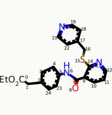 CCOC(=O)Cc1ccc(NC(=O)c2cccnc2SCc2ccncc2)cc1